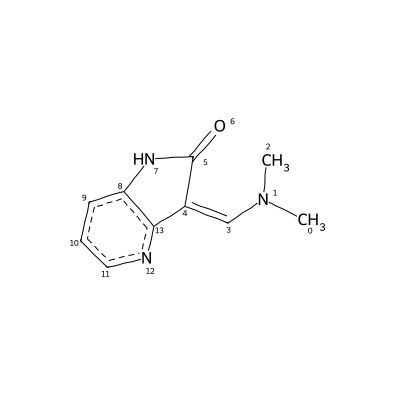 CN(C)C=C1C(=O)Nc2cccnc21